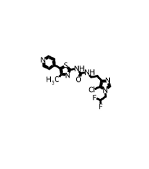 Cc1nc(NC(=O)NCCc2ncn(CC(F)F)c2Cl)sc1-c1ccncc1